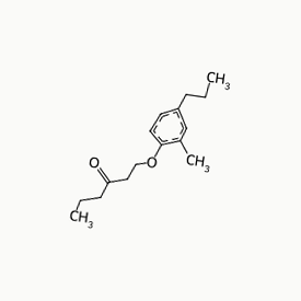 CCCC(=O)CCOc1ccc(CCC)cc1C